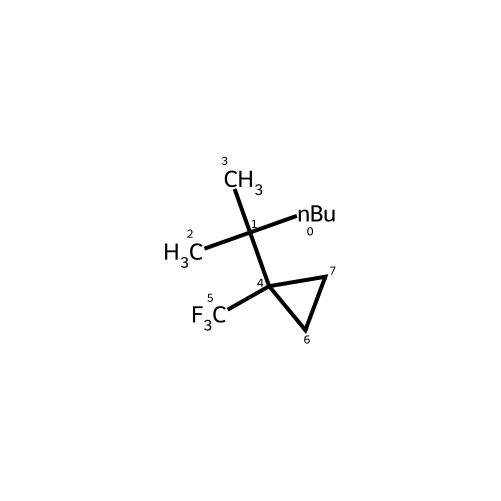 CCCCC(C)(C)C1(C(F)(F)F)CC1